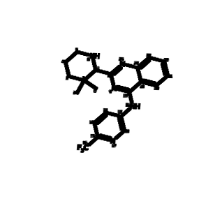 CC1(C)CCCNC1c1nc(Nc2ccc(C(F)(F)F)nc2)c2ccccc2n1